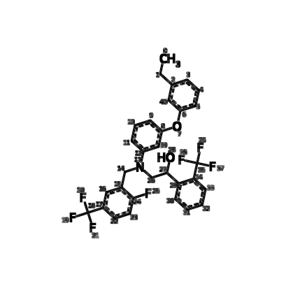 CCc1cccc(Oc2cccc(N(Cc3cc(C(F)(F)F)ccc3F)CC(O)c3ccccc3C(F)(F)F)c2)c1